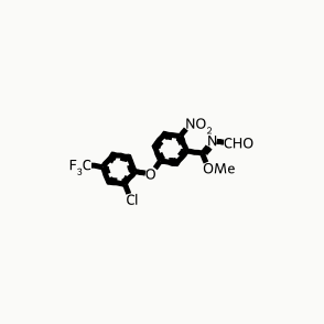 COC(=NC=O)c1cc(Oc2ccc(C(F)(F)F)cc2Cl)ccc1[N+](=O)[O-]